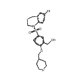 CCc1ccc2c(c1)CCCN2S(=O)(=O)c1ccc(OCC2CCOCC2)c(CO)c1